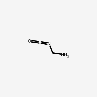 NCN=C=O